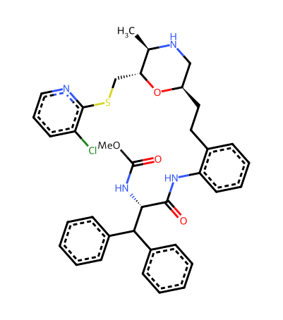 COC(=O)N[C@H](C(=O)Nc1ccccc1CC[C@@H]1CN[C@H](C)[C@@H](CSc2ncccc2Cl)O1)C(c1ccccc1)c1ccccc1